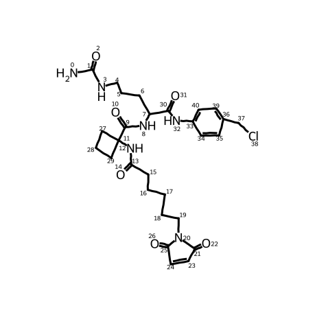 NC(=O)NCCCC(NC(=O)C1(NC(=O)CCCCCN2C(=O)C=CC2=O)CCC1)C(=O)Nc1ccc(CCl)cc1